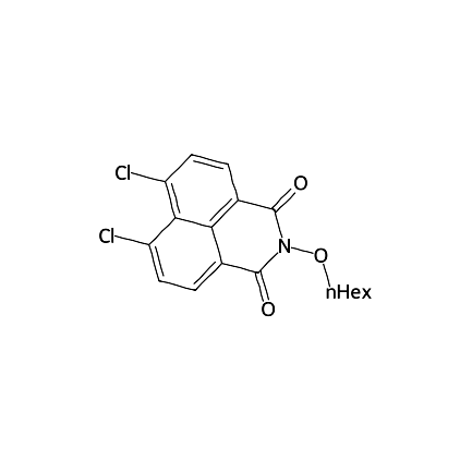 CCCCCCON1C(=O)c2ccc(Cl)c3c(Cl)ccc(c23)C1=O